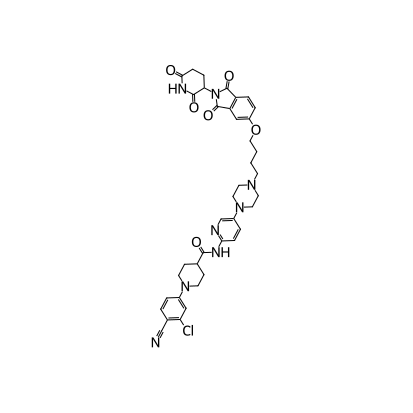 N#Cc1ccc(N2CCC(C(=O)Nc3ccc(N4CCN(CCCCOc5ccc6c(c5)C(=O)N(C5CCC(=O)NC5=O)C6=O)CC4)cn3)CC2)cc1Cl